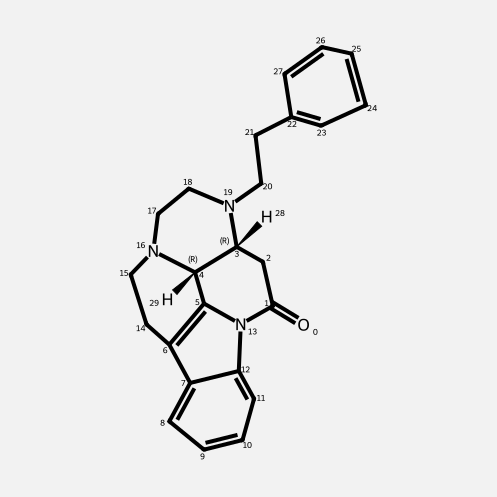 O=C1C[C@@H]2[C@@H]3c4c(c5ccccc5n41)CCN3CCN2CCc1ccccc1